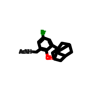 CC(=O)NCc1cc(Br)cc(C23CC4CC(CC(C4)C2)C3)c1O